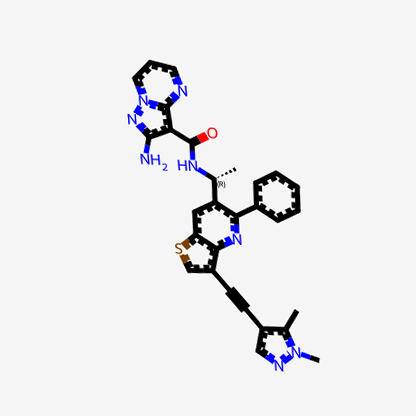 Cc1c(C#Cc2csc3cc([C@@H](C)NC(=O)c4c(N)nn5cccnc45)c(-c4ccccc4)nc23)cnn1C